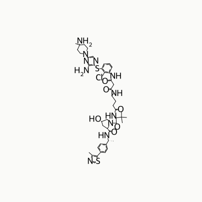 Cc1ncsc1-c1ccc([C@@H](C)NC(=O)[C@H]2C[C@H](O)CN2C(=O)[C@H](NC(=O)CCCNC(=O)CC(=O)Nc2cccc(Sc3ncc(N4CCC(C)(N)CC4)nc3N)c2Cl)C(C)(C)C)cc1